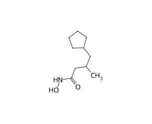 CC(CC(=O)NO)CC1CCCC1